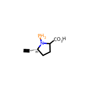 C#C[C@H]1CCC(C(=O)O)N1P